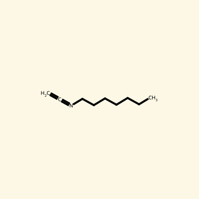 C=C=NCCCCCCC